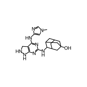 Cn1cnc(Nc2nc(NC3C4CC5CC3CC(O)(C5)C4)nc3c2CNN3)c1